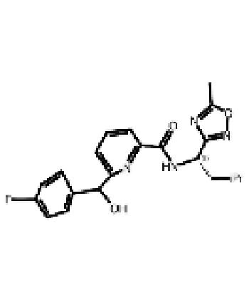 Cc1nc([C@H](CC(C)C)NC(=O)c2cccc(C(O)c3ccc(F)cc3)n2)no1